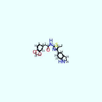 Cc1sc(NC(=O)Cc2ccc3c(c2)OCO3)nc1-c1ccc2c(c1)CCN2